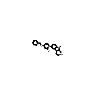 CN1c2ccc(-n3ccc(OCc4ccccc4)cc3=O)cc2C2CCNCC21